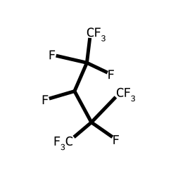 F[C](C(F)(F)C(F)(F)F)C(F)(C(F)(F)F)C(F)(F)F